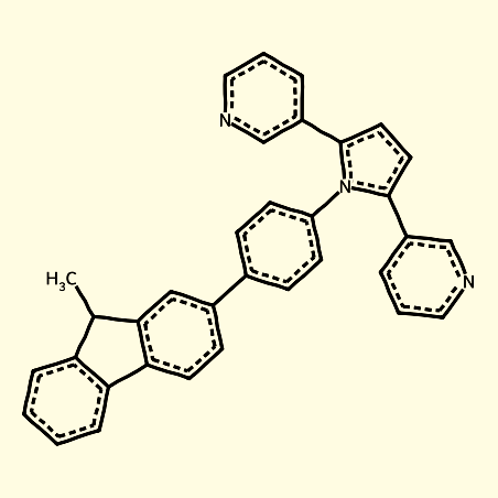 CC1c2ccccc2-c2ccc(-c3ccc(-n4c(-c5cccnc5)ccc4-c4cccnc4)cc3)cc21